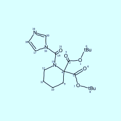 CC(C)(C)OC(=O)C1(C(=O)OC(C)(C)C)CCCCN1C(=O)n1ccnc1